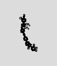 Cc1c(-c2ccc(C#N)c(Cl)c2)nn(Cc2ccc(C#CC3CCN(c4ccc5c(c4)CN(C4CCC(=O)NC4=O)C5=O)CC3)cc2)c1C